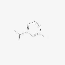 CC([O])c1cccc(C(Cl)(Cl)Cl)c1